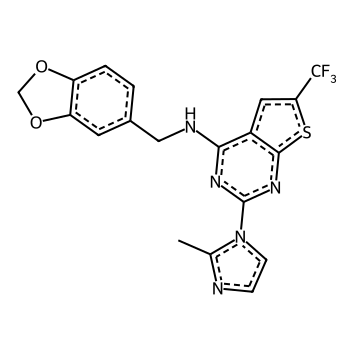 Cc1nccn1-c1nc(NCc2ccc3c(c2)OCO3)c2cc(C(F)(F)F)sc2n1